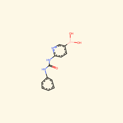 O=C(Nc1ccccc1)Nc1ccc(B(O)O)cn1